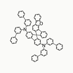 c1ccc(-c2cccc(N(c3cccc(-c4ccccc4)c3)c3ccc4c(c3)C3(c5cc(N(c6cccc(-c7ccccc7)c6)c6cccc(-c7ccccc7)c6)ccc5-4)c4ccccc4-c4c3ccc3c4oc4ccccc43)c2)cc1